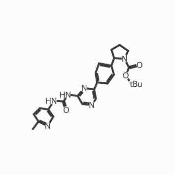 Cc1ccc(NC(=O)Nc2cncc(-c3ccc(C4CCCN4C(=O)OC(C)(C)C)cc3)n2)cn1